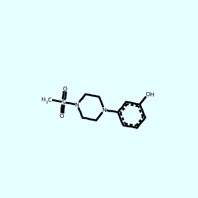 CS(=O)(=O)N1CCN(c2cccc(O)c2)CC1